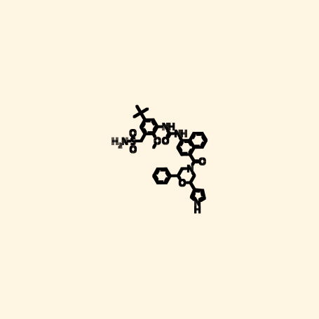 COc1c(CS(N)(=O)=O)cc(C(C)(C)C)cc1NC(=O)Nc1ccc(C(=O)N2CC(c3ccccc3)OC(c3cc[nH]c3)C2)c2ccccc12